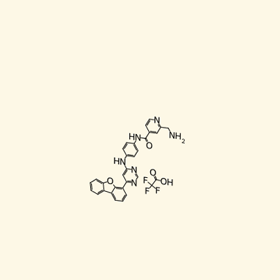 NCc1cc(C(=O)Nc2ccc(Nc3cc(-c4cccc5c4oc4ccccc45)ncn3)cc2)ccn1.O=C(O)C(F)(F)F